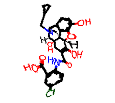 O=C(Nc1ccc(Cl)cc1C(=O)O)C1=C(O)[C@@H]2Oc3c(O)ccc4c3[C@@]23CCN(CC2CC2)[C@H](C4)[C@]3(O)C1